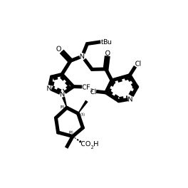 C[C@H]1C[C@](C)(C(=O)O)CC[C@H]1n1ncc(C(=O)N(CC(=O)c2c(Cl)cncc2Cl)CC(C)(C)C)c1C(F)(F)F